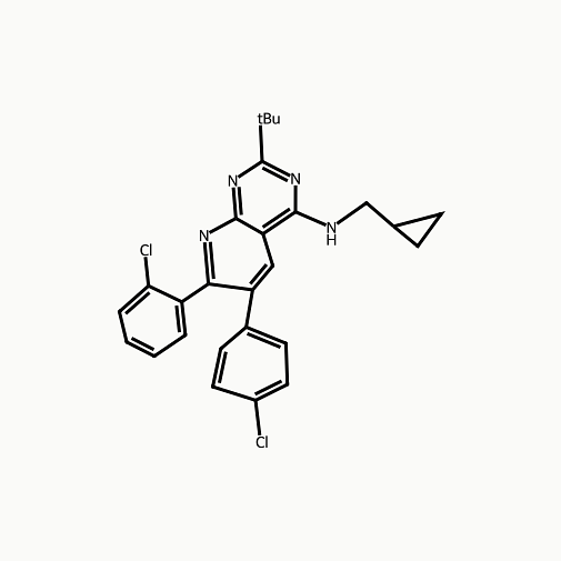 CC(C)(C)c1nc(NCC2CC2)c2cc(-c3ccc(Cl)cc3)c(-c3ccccc3Cl)nc2n1